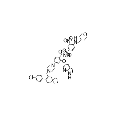 O=C(NS(=O)(=O)c1ccc(NCC2CCOCC2)c([N+](=O)[O-])c1)c1ccc(N2CCN(CC3=C(c4ccc(Cl)cc4)CCC4(CCCC4)C3)CC2)cc1Oc1cnc2[nH]ccc2c1